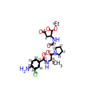 CCOC1OC(=O)CC1NC(=O)[C@@H]1CCCN1C(=O)[C@H](C)NC(=O)c1ccc(N)c(Cl)c1